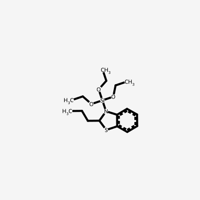 CCCC1Sc2ccccc2N1[Si](OCC)(OCC)OCC